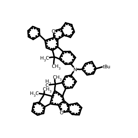 CC(C)(C)c1ccc(N(c2ccc3c(c2)C(C)(C)c2cc(-c4ccccc4)c4oc5ccccc5c4c2-3)c2ccc3c(c2)C(C)(C)c2c4c(c5oc6ccccc6c5c2-3)-c2ccccc2C4(C)C)cc1